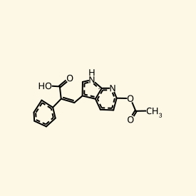 CC(=O)Oc1ccc2c(C=C(C(=O)O)c3ccccc3)c[nH]c2n1